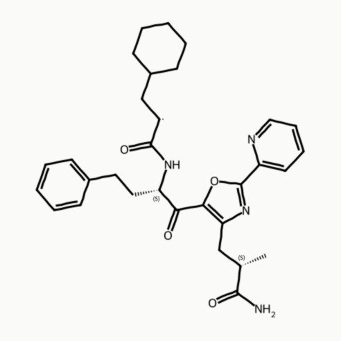 C[C@@H](Cc1nc(-c2ccccn2)oc1C(=O)[C@H](CCc1ccccc1)NC(=O)[CH]CC1CCCCC1)C(N)=O